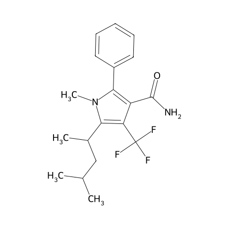 CC(C)CC(C)c1c(C(F)(F)F)c(C(N)=O)c(-c2ccccc2)n1C